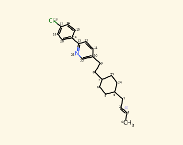 C/C=C/CC1CCC(CCc2ccc(-c3ccc(Cl)cc3)nc2)CC1